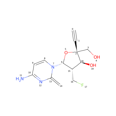 C#C[C@]1(CO)O[C@@H](N2C=CC(N)=NC2=C)[C@@H](CF)[C@@H]1O